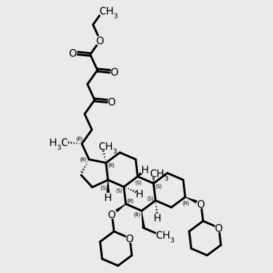 CCOC(=O)C(=O)CC(=O)CC[C@@H](C)[C@H]1CC[C@H]2[C@@H]3[C@H](OC4CCCCO4)[C@H](CC)[C@@H]4C[C@H](OC5CCCCO5)CC[C@]4(C)[C@H]3CC[C@]12C